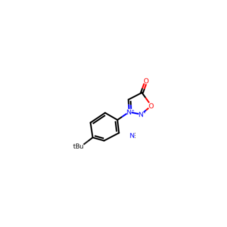 CC(C)(C)c1ccc(-[n+]2cc(=O)o[n-]2)cc1.[N]